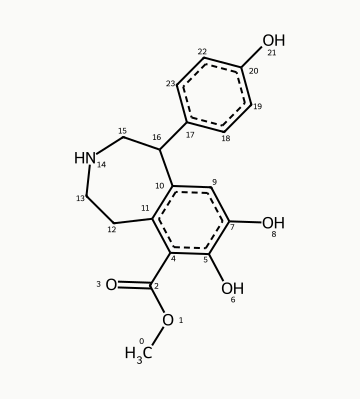 COC(=O)c1c(O)c(O)cc2c1CCNCC2c1ccc(O)cc1